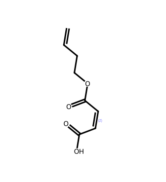 C=CCCOC(=O)/C=C\C(=O)O